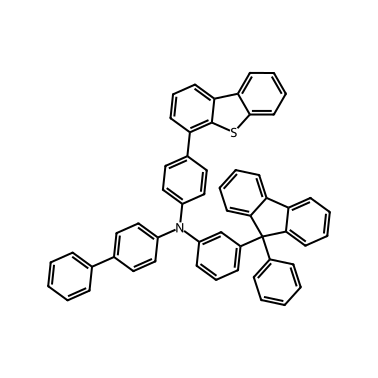 c1ccc(-c2ccc(N(c3ccc(-c4cccc5c4sc4ccccc45)cc3)c3cccc(C4(c5ccccc5)c5ccccc5-c5ccccc54)c3)cc2)cc1